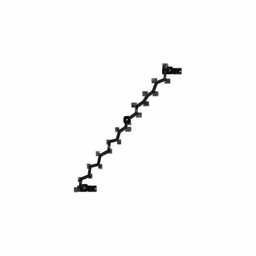 [CH2]CCCCCCCCCCCCCCCCCCCOCCCCCCCCCCCCCCCC[CH2]